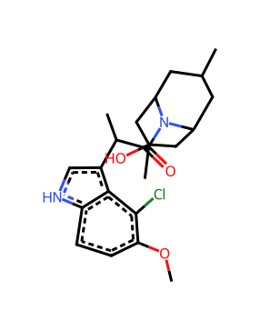 COc1ccc2[nH]cc(C(C)C(=O)N3C4CC(C)CC3CC(C)(O)C4)c2c1Cl